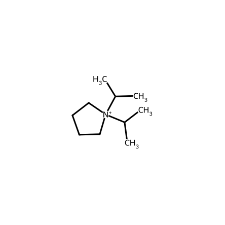 CC(C)[N+]1(C(C)C)CCCC1